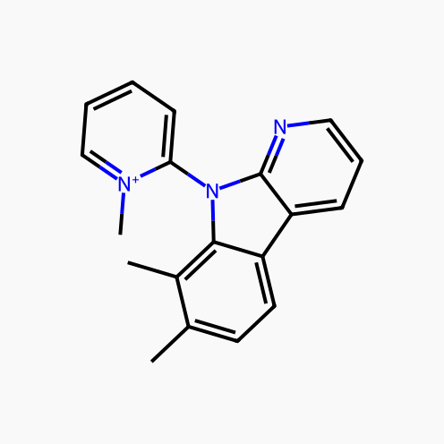 Cc1ccc2c3cccnc3n(-c3cccc[n+]3C)c2c1C